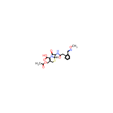 CON=Cc1ccccc1CC(=O)NC1C(=O)N2C(C(=O)O)=C(COC(C)=O)CS[C@@H]12